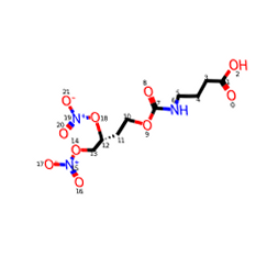 O=C(O)CCCNC(=O)OCC[C@H](CO[N+](=O)[O-])O[N+](=O)[O-]